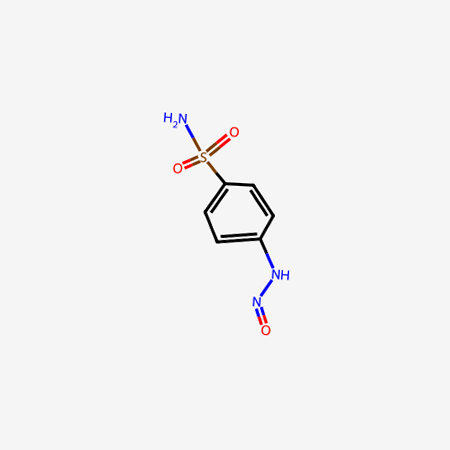 NS(=O)(=O)c1ccc(NN=O)cc1